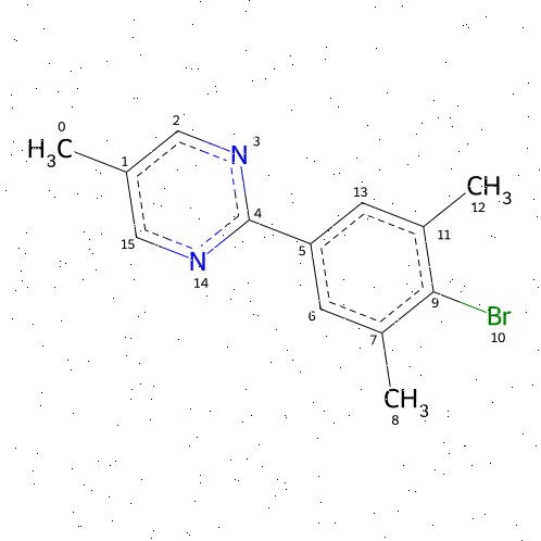 Cc1cnc(-c2cc(C)c(Br)c(C)c2)nc1